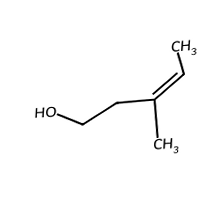 CC=C(C)CCO